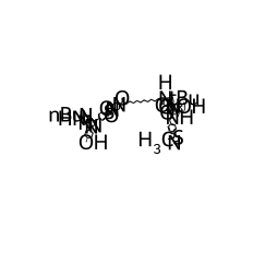 CCCCNc1ncc2c(-c3ccc(S(=O)(=O)N4CCN(C(=O)CCCCCCCCCCC(=O)N[C@H](C(=O)N5C[C@H](O)C[C@H]5C(=O)NCc5ccc(-c6scnc6C)cc5)C(C)(C)C)CC4)cc3)nn([C@H]3CC[C@H](O)CC3)c2n1